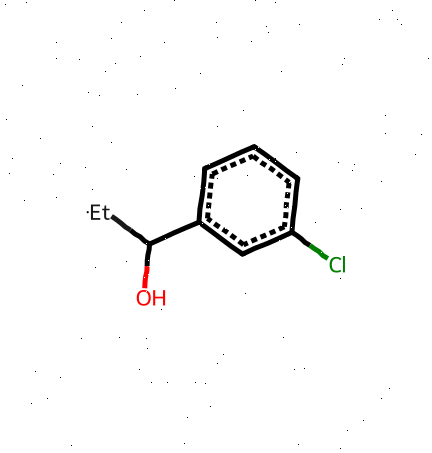 C[CH]C(O)c1cccc(Cl)c1